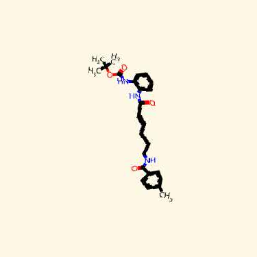 Cc1ccc(C(=O)NCCCC=CC(=O)Nc2ccccc2NC(=O)OC(C)(C)C)cc1